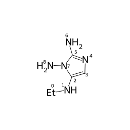 CCNc1cnc(N)n1N